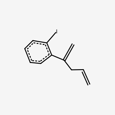 C=CCC(=C)c1ccccc1I